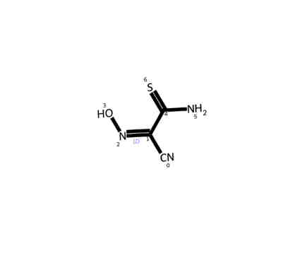 N#C/C(=N/O)C(N)=S